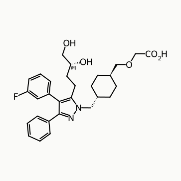 O=C(O)COC[C@H]1CC[C@H](Cn2nc(-c3ccccc3)c(-c3cccc(F)c3)c2CC[C@@H](O)CO)CC1